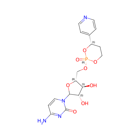 Nc1ccn(C2O[C@H](CO[P@@]3(=O)OCC[C@@H](c4ccncc4)O3)[C@@H](O)[C@@H]2O)c(=O)n1